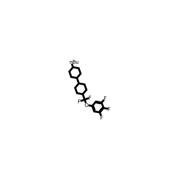 CCCCC1CCC(C2CCC(C(F)(F)Oc3cc(F)c(F)c(F)c3)CC2)CC1